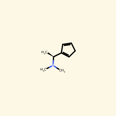 C[C@@H](C1=CCC=C1)N(C)C